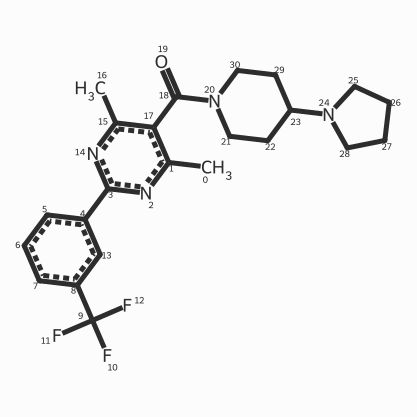 Cc1nc(-c2cccc(C(F)(F)F)c2)nc(C)c1C(=O)N1CCC(N2CCCC2)CC1